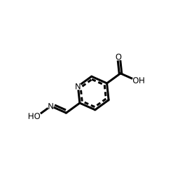 O=C(O)c1ccc(C=NO)nc1